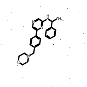 CC(Nc1cncc(-c2ccc(CN3CCOCC3)cc2)n1)c1ccccc1